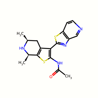 CC(=O)Nc1sc2c(c1-c1nc3cnccc3s1)C[C@H](C)N[C@@H]2C